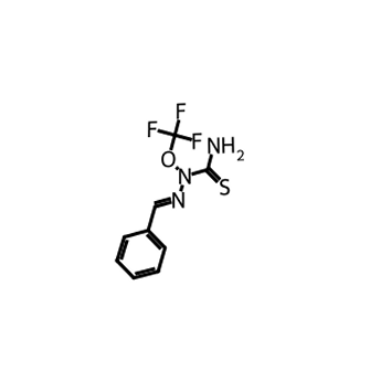 NC(=S)N(N=Cc1ccccc1)OC(F)(F)F